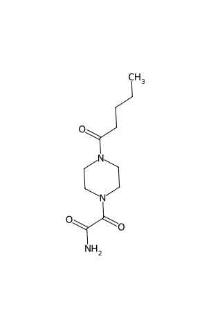 CCCCC(=O)N1CCN(C(=O)C(N)=O)CC1